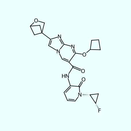 O=C(Nc1cccn([C@@H]2C[C@@H]2F)c1=O)c1cn2cc(C34COC(C3)C4)nc2nc1OC1CCC1